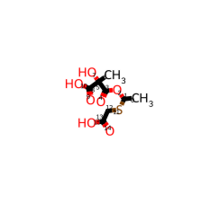 CC(OC(=O)C(C)(O)C(=O)O)SCC(=O)O